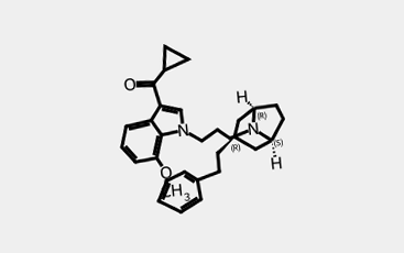 COc1cccc2c(C(=O)C3CC3)cn(CCCN3[C@@H]4CC[C@H]3C[C@@H](CCc3ccccc3)C4)c12